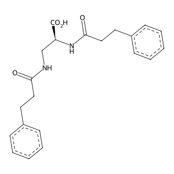 O=C(CCc1ccccc1)NC[C@H](NC(=O)CCc1ccccc1)C(=O)O